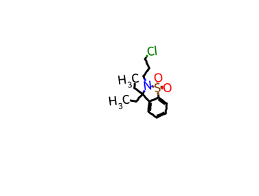 CCC1(CC)c2ccccc2S(=O)(=O)N1CCCCl